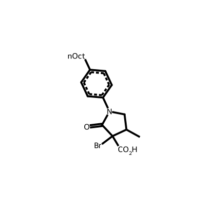 CCCCCCCCc1ccc(N2CC(C)C(Br)(C(=O)O)C2=O)cc1